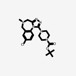 CN1Cc2cc(Cl)ccc2-n2c(nnc2N2CCN(C(=O)OC(C)(C)C)CC2)C1